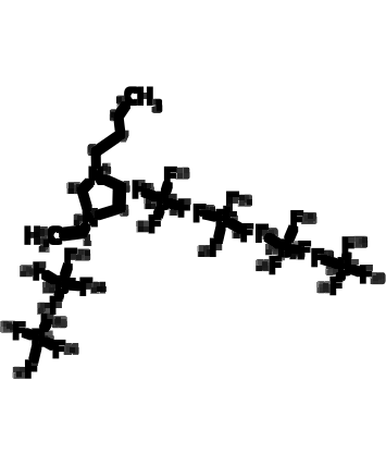 C=CN1C=CN(CCCC)C1.F[B-](F)(F)F.F[B-](F)(F)F.F[B-](F)(F)F.F[B-](F)(F)F.F[B-](F)(F)F.F[B-](F)(F)F